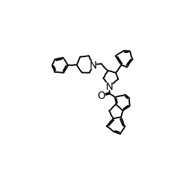 O=C(c1cccc2c1Cc1ccccc1-2)N1CC(CN2CCC(c3ccccc3)CC2)C(c2ccccc2)C1